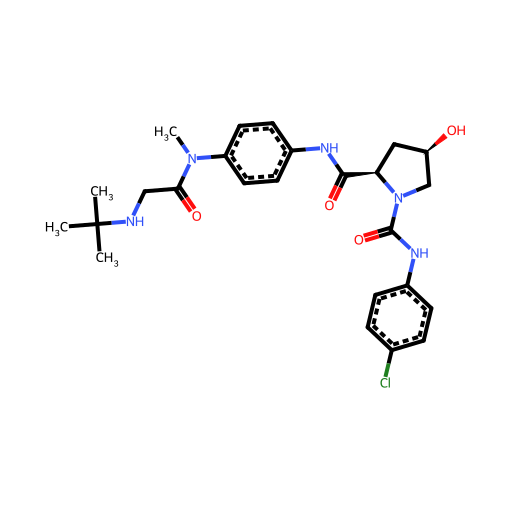 CN(C(=O)CNC(C)(C)C)c1ccc(NC(=O)[C@H]2C[C@@H](O)CN2C(=O)Nc2ccc(Cl)cc2)cc1